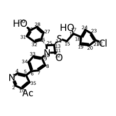 CC(=O)c1cncc(-c2ccc(N3C(=O)[C@H](SC[C@H](O)c4ccc(Cl)cc4)[C@H]3c3ccc(O)cc3)cc2)c1